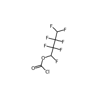 O=C(Cl)OC(F)C(F)(F)C(F)(F)C(F)F